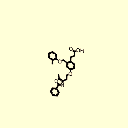 Cc1ccccc1OCc1cc(OCCc2nc(-c3ccccc3)oc2C)ccc1CCC(=O)O